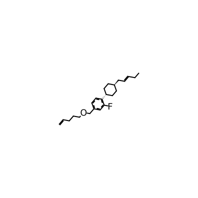 C=CCCCOCc1ccc([C@H]2CC[C@H](CC=CCC)CC2)c(F)c1